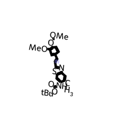 COCOc1ccc(/C=C/c2nc3cc(C)c(NC(=O)OC(C)(C)C)cc3s2)cc1OC